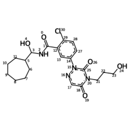 O=C(NC(O)C1CCCCCC1)c1cc(-n2ncc(=O)n(CCCO)c2=O)ccc1Cl